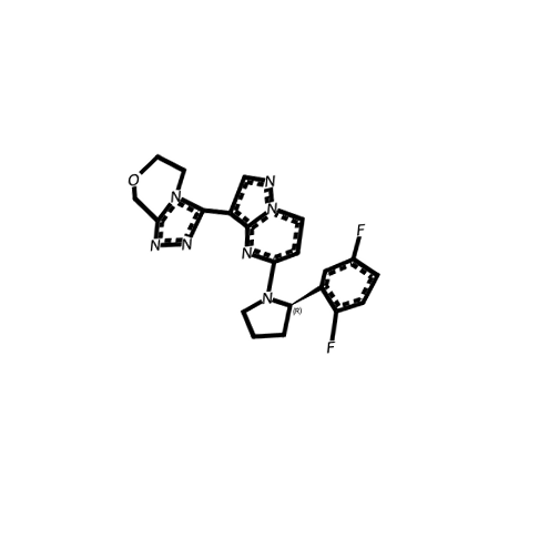 Fc1ccc(F)c([C@H]2CCCN2c2ccn3ncc(-c4nnc5n4CCOC5)c3n2)c1